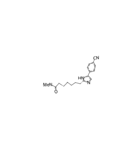 CNC(=O)CCCCCCc1ncc(-c2ccc(C#N)cc2)[nH]1